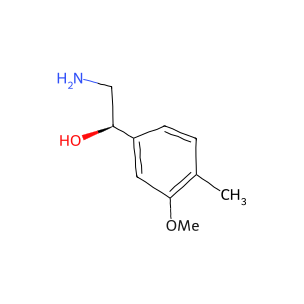 COc1cc([C@@H](O)CN)ccc1C